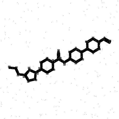 C=CC1CCC(C2CCC(OC(=O)C3CCC(C4CCC(CCC)O4)CC3)CC2)CC1